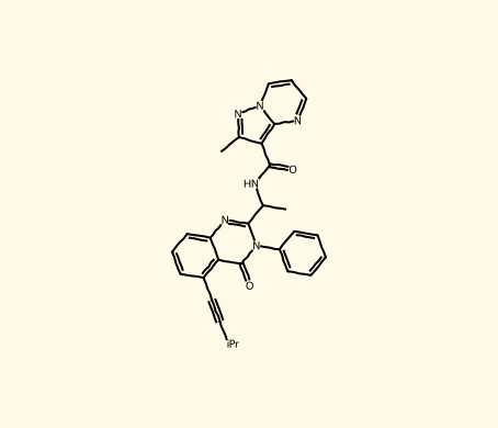 Cc1nn2cccnc2c1C(=O)NC(C)c1nc2cccc(C#CC(C)C)c2c(=O)n1-c1ccccc1